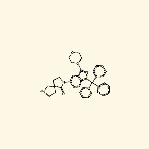 O=C1N(c2ccc3c(c2)c(N2CCOCC2)nn3C(c2ccccc2)(c2ccccc2)c2ccccc2)CCC12CCNC2